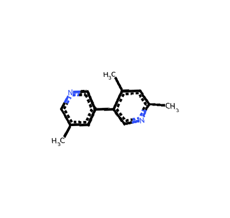 Cc1cncc(-c2cnc(C)cc2C)c1